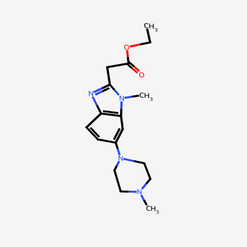 CCOC(=O)Cc1nc2ccc(N3CCN(C)CC3)cc2n1C